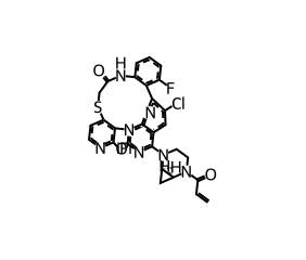 C=CC(=O)N1CCN(c2nc(=O)n3c4nc(c(Cl)cc24)-c2c(F)cccc2NC(=O)CSc2ccnc(C(C)C)c2-3)[C@@H]2C[C@@H]21